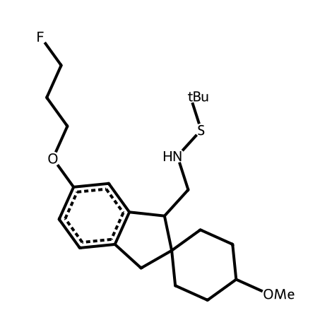 COC1CCC2(CC1)Cc1ccc(OCCCF)cc1C2CNSC(C)(C)C